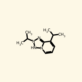 CC(C)C1=CC=CN2NN(C(C)C)N=C12